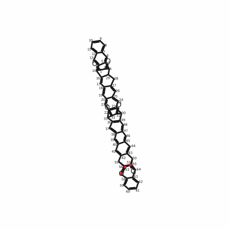 O=C1C(=O)C2c3cc4ccccc4cc3C1C1=Cc3cc4cc5c(cc4cc3CC12)C1C(=O)C(=O)C5c2cc3cc4cc5c(cc4cc3cc21)C1C(=O)C(=O)C5c2cc3ccccc3cc21